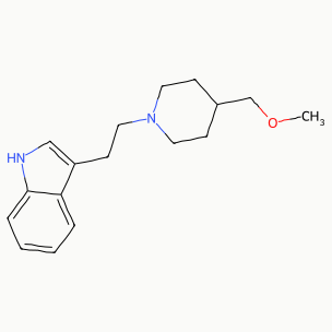 COCC1CCN(CCc2c[nH]c3ccccc23)CC1